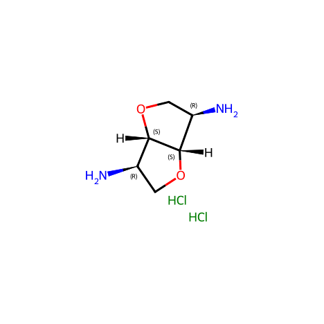 Cl.Cl.N[C@@H]1CO[C@@H]2[C@H]1OC[C@H]2N